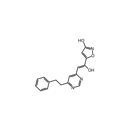 O/C(=C\c1cc(CCc2ccccc2)ncn1)c1cc(O)no1